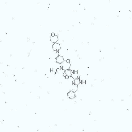 CN1C(=O)[C@H](NC(=O)c2n[nH]c(Cc3ccccc3)n2)COc2cc(N3CCC4(CCOCC4)CC3)ccc21